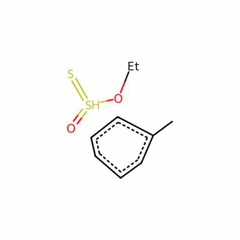 CCO[SH](=O)=S.Cc1ccccc1